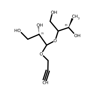 C#CCOC(OC(CO)[C@@H](C)O)[C@@H](O)CO